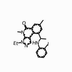 CCn1ncc2c3c(C(C)Nc4ccccc4I)cc(C)cc3c(=O)n(C)c21